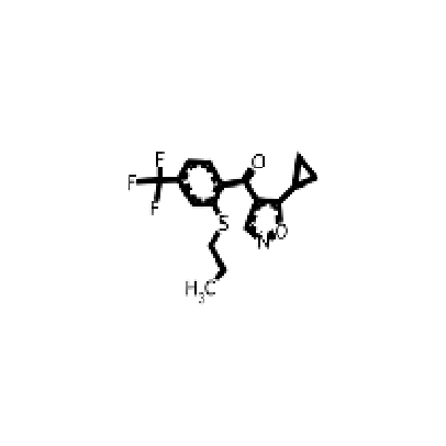 CCCSc1cc(C(F)(F)F)ccc1C(=O)c1cnoc1C1CC1